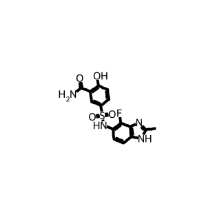 Cc1nc2c(F)c(NS(=O)(=O)c3ccc(O)c(C(N)=O)c3)ccc2[nH]1